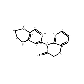 O=C1CSc2cc[c]nc2N1c1cc2c(cn1)OCCO2